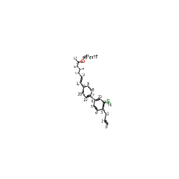 C=CCc1ccc(-c2ccc(C=CCCCC(C)OCCCCC)cc2)cc1F